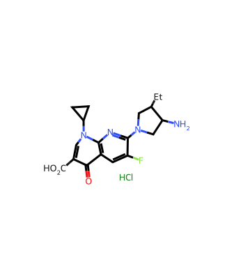 CCC1CN(c2nc3c(cc2F)c(=O)c(C(=O)O)cn3C2CC2)CC1N.Cl